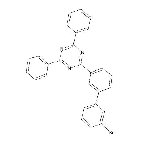 Brc1cccc(-c2cccc(-c3nc(-c4ccccc4)nc(-c4ccccc4)n3)c2)c1